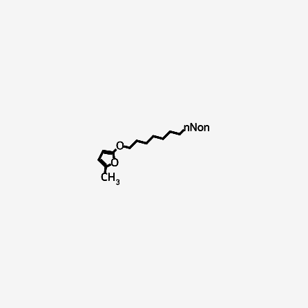 CCCCCCCCCCCCCCCCOc1ccc(C)o1